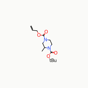 C=CCOC(=O)N1CCN(C(=O)OC(C)(C)C)C(C)C1